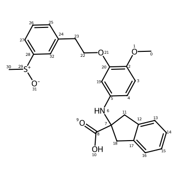 COc1ccc(NC2(C(=O)O)Cc3ccccc3C2)cc1OCCc1cccc([S+](C)[O-])c1